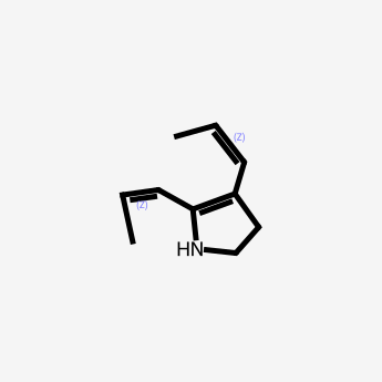 C/C=C\C1=C(/C=C\C)NCC1